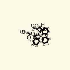 CC(C)(C)C(=O)OC(=O)C(N1C(=O)CC1CC(=O)O)=P(c1ccccc1)(c1ccccc1)c1ccccc1